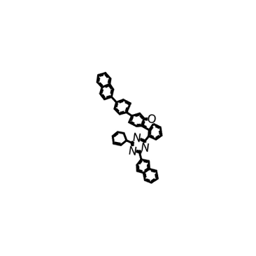 C1=CCC(c2nc(-c3ccc4ccccc4c3)nc(-c3cccc4oc5cc(-c6ccc(-c7ccc8ccccc8c7)cc6)ccc5c34)n2)C=C1